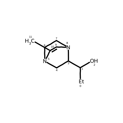 CCC(O)C1CN2CCN1C=C2C